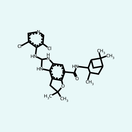 CC1CC2CC(C1NC(=O)c1cc3c(c4c1OC(C)(C)C4)NC(Nc1c(Cl)cncc1Cl)N3)C2(C)C